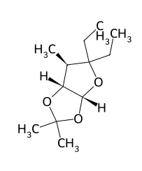 CCC1(CC)O[C@@H]2OC(C)(C)O[C@@H]2[C@H]1C